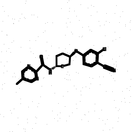 Cc1cnc(C(=O)N[C@H]2CC[C@H](Oc3ccc(C#N)c(Cl)c3)CC2)nc1